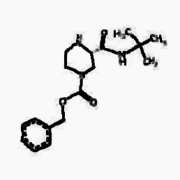 CC(C)(C)NC(=O)[C@@H]1CN(C(=O)OCc2ccccc2)CCN1